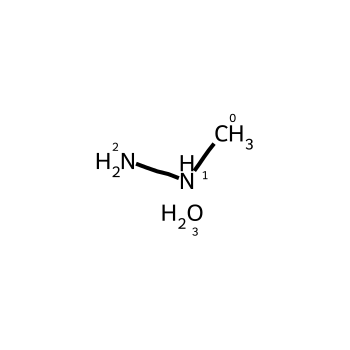 CNN.O